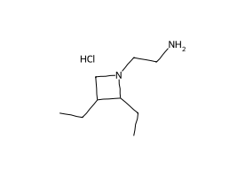 CCC1CN(CCN)C1CC.Cl